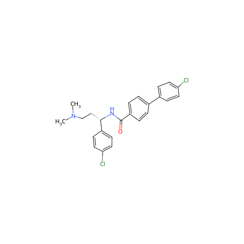 CN(C)CC[C@H](NC(=O)c1ccc(-c2ccc(Cl)cc2)cc1)c1ccc(Cl)cc1